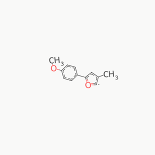 COc1ccc(-c2cc(C)[c]o2)cc1